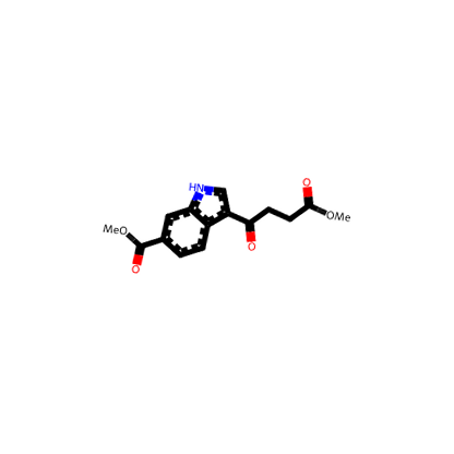 COC(=O)CCC(=O)c1c[nH]c2cc(C(=O)OC)ccc12